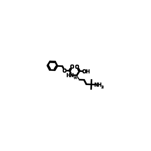 CC(C)(N)CCC[C@H](NC(=O)OCc1ccccc1)C(=O)O